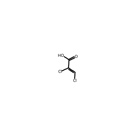 O=C(O)/C(Cl)=C/Cl